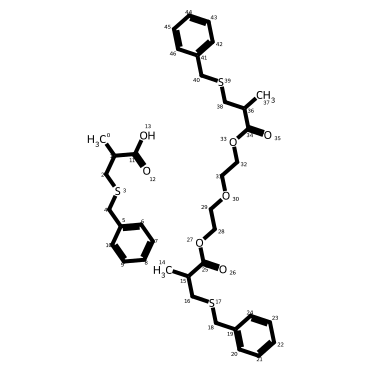 CC(CSCc1ccccc1)C(=O)O.CC(CSCc1ccccc1)C(=O)OCCOCCOC(=O)C(C)CSCc1ccccc1